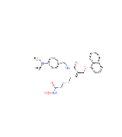 CN(C)c1ccc(CNC(=O)C(=CCCCCC(=O)NO)COc2cccc3ccccc23)cc1